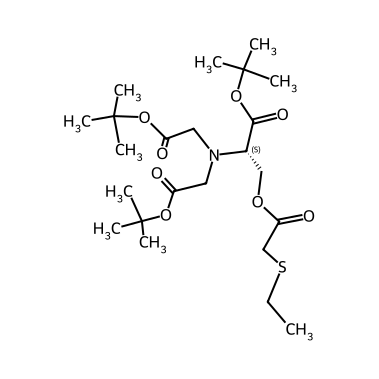 CCSCC(=O)OC[C@@H](C(=O)OC(C)(C)C)N(CC(=O)OC(C)(C)C)CC(=O)OC(C)(C)C